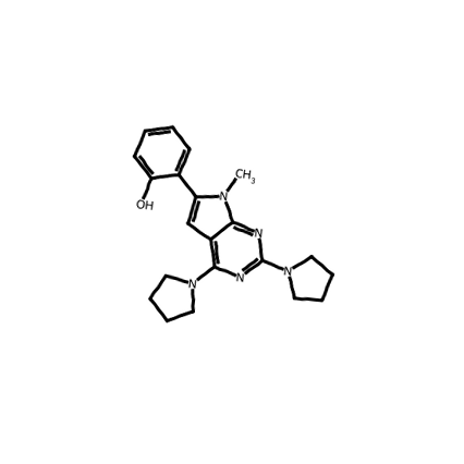 Cn1c(-c2ccccc2O)cc2c(N3CCCC3)nc(N3CCCC3)nc21